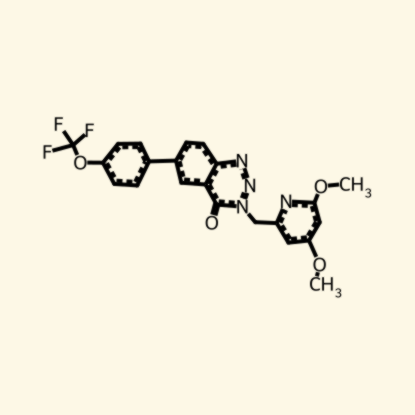 COc1cc(Cn2nnc3ccc(-c4ccc(OC(F)(F)F)cc4)cc3c2=O)nc(OC)c1